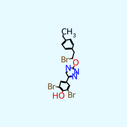 CCc1ccc(CC(Br)Oc2ncc(-c3cc(Br)c(O)c(Br)c3)nn2)cc1